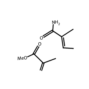 C/C=C(\C)C(N)=O.C=C(C)C(=O)OC